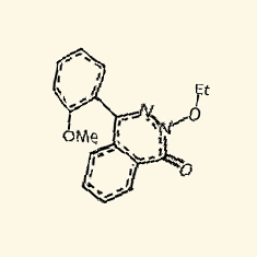 CCOn1nc(-c2ccccc2OC)c2ccccc2c1=O